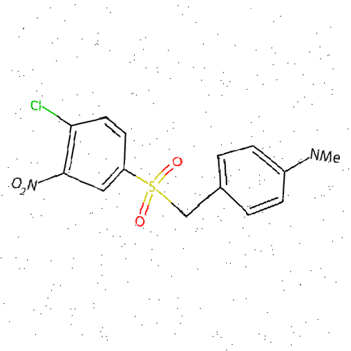 CNc1ccc(CS(=O)(=O)c2ccc(Cl)c([N+](=O)[O-])c2)cc1